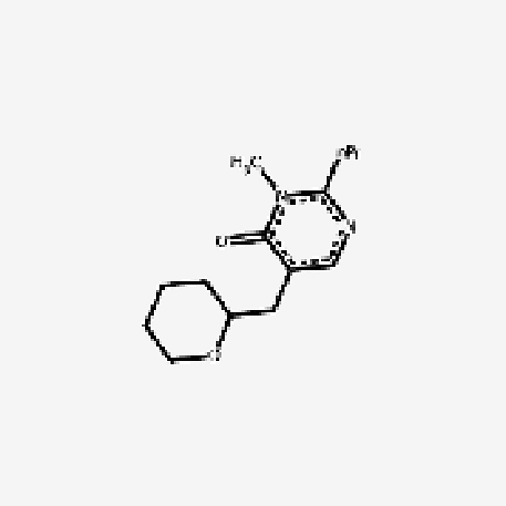 CCCc1ncc(CC2CCCCO2)c(=O)n1C